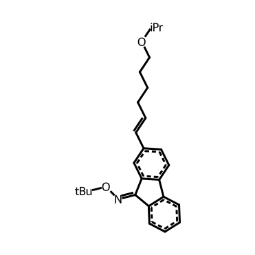 CC(C)OCCCC/C=C/c1ccc2c(c1)/C(=N\OC(C)(C)C)c1ccccc1-2